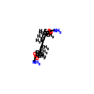 CC1=C(/C=C/C(C)=C/C=C/C(C)=C/C=C/C=C(C)/C=C/C=C(C)/C=C/C2=C(C)C(=O)C(OC(=O)CCCN)CC2(C)C)C(C)(C)CC(OC(=O)CCCN)C1=O